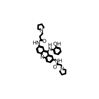 O=C(CCN1CCCC1)Nc1ccc2nc3ccc(NC(=O)CN4CCCC4)cc3c(Nc3ccccc3O)c2c1